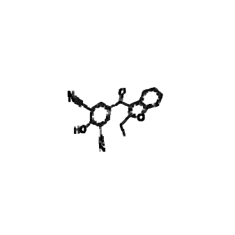 CCc1oc2ccccc2c1C(=O)c1cc(C#N)c(O)c(C#N)c1